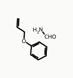 C=CCOc1ccccc1.NC=O